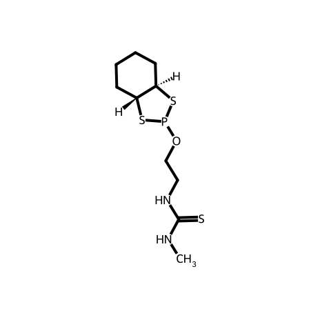 CNC(=S)NCCOP1S[C@@H]2CCCC[C@H]2S1